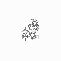 O=C(c1cccc(C(F)(F)F)c1)N(c1ccc(F)c(Cl)c1)c1coc2ccccc12